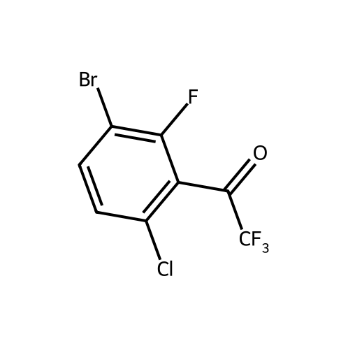 O=C(c1c(Cl)ccc(Br)c1F)C(F)(F)F